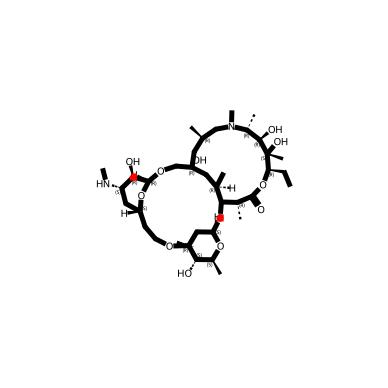 CC[C@H]1OC(=O)[C@H](C)C2O[C@@H]3C[C@@](C)(OCC[C@@H]4C[C@H](NC)[C@@H](O)[C@H](OC[C@@](O)(C[C@@H](C)CN(C)[C@H](C)[C@@H](O)[C@]1(C)O)C[C@H]2C)O4)[C@@H](O)[C@H](C)O3